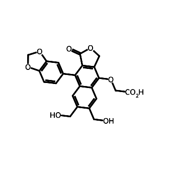 O=C(O)COc1c2c(c(-c3ccc4c(c3)OCO4)c3cc(CO)c(CO)cc13)C(=O)OC2